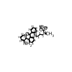 CN(CCCNc1cccc(-c2ncccc2N)c1C(=O)c1ccccc1)C(=O)OC(C)(C)C